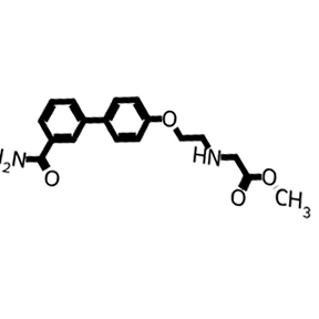 COC(=O)CNCCOc1ccc(-c2cccc(C(N)=O)c2)cc1